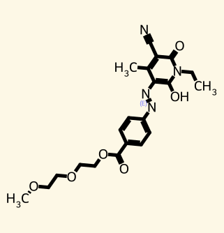 CCn1c(O)c(/N=N/c2ccc(C(=O)OCCOCCOC)cc2)c(C)c(C#N)c1=O